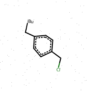 CCC(C)Cc1ccc(CCl)cc1